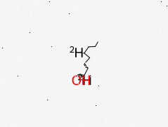 [2H]C(C=CCC([2H])CCC)=CO